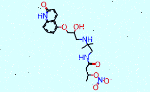 CC(CC(=O)NCC(C)(C)NCC(O)COc1cccc2[nH]c(=O)ccc12)O[N+](=O)[O-]